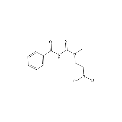 CCN(CC)CCN(C)C(=S)NC(=O)c1ccccc1